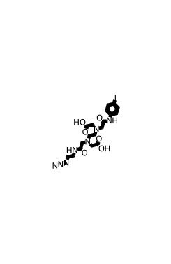 [N-]=[N+]=NCCNC(=O)CN(CCN(CC(=O)O)CC(=O)Nc1ccc(I)cc1)CC(=O)O